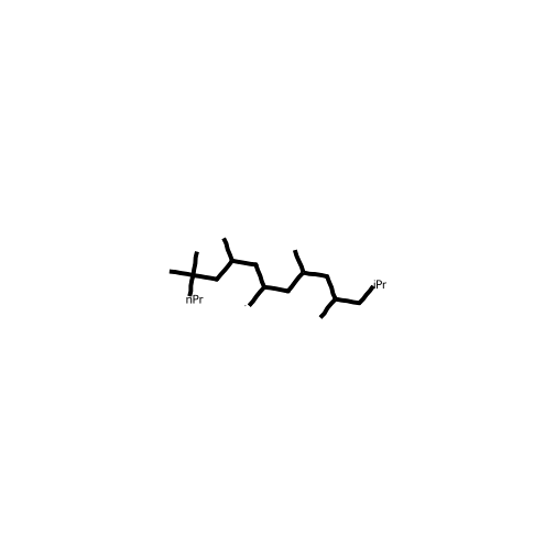 [CH2]C(CC(C)CC(C)CC(C)C)CC(C)CC(C)(C)CCC